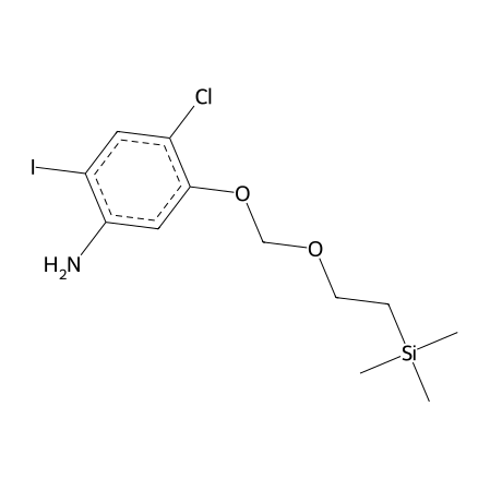 C[Si](C)(C)CCOCOc1cc(N)c(I)cc1Cl